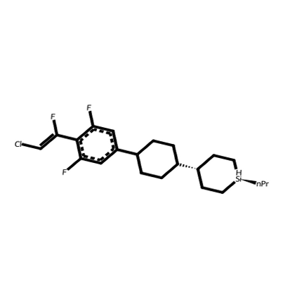 CCC[Si@H]1CC[C@H](C2CCC(c3cc(F)c(C(F)=CCl)c(F)c3)CC2)CC1